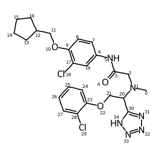 CN(CC(=O)Nc1ccc(OCC2CCCC2)c(Cl)c1)C(COc1ccccc1Cl)c1nnn[nH]1